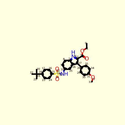 CCOC(=O)c1[nH]c2ccc(NS(=O)(=O)c3ccc(C(C)(C)C)cc3)cc2c1-c1ccc(OC)cc1